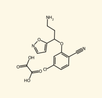 N#Cc1ccc(Cl)cc1OC(CCN)c1ccno1.O=C(O)C(=O)O